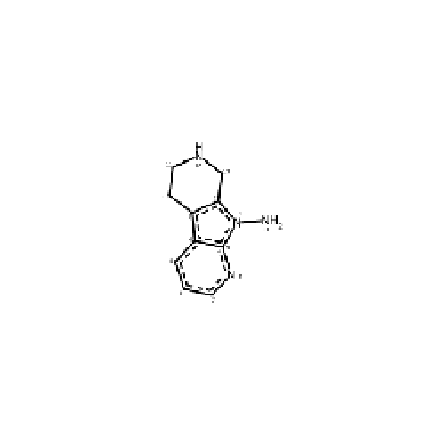 Nn1c2c(c3cccnc31)CCNC2